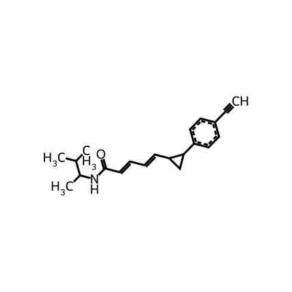 C#Cc1ccc(C2CC2/C=C/C=C/C(=O)NC(C)C(C)C)cc1